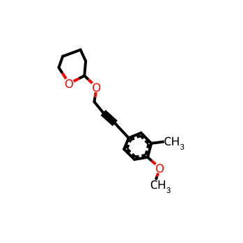 COc1ccc(C#CCOC2CCCCO2)cc1C